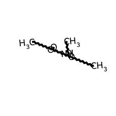 CCCCCCCCCCCCOCC(CNCCCCCC(=O)OCCCCCCCCCC)OCCCCCC